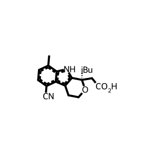 CCC(C)[C@]1(CC(=O)O)OCCc2c1[nH]c1c(C)ccc(C#N)c21